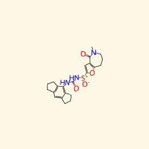 CN1CCCc2oc([S+]([O-])NC(=O)Nc3c4c(cc5c3CCC5)CCC4)cc2C1=O